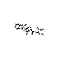 CC(C[CH]C(=O)N1CCC2C1C(=O)CN2S(=O)(=O)Cc1ccccn1)C(N)=O